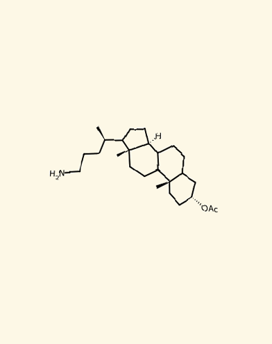 CC(=O)O[C@@H]1CC[C@@]2(C)C(CCC3C2CC[C@]2(C)C([C@H](C)CCCN)CC[C@@H]32)C1